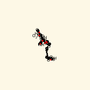 O=C1CCC(N2Cc3c(CCCCCCN4CCC(COc5cccc(-c6ccc(Cl)cc6)c5CN5CCN(c6ccc(C(=O)NS(=O)(=O)c7ccc(NCC8CCOCC8)c([N+](=O)[O-])c7)c(Oc7cnc8[nH]ccc8c7)c6)CC5)CC4)cccc3C2=O)C(=O)N1